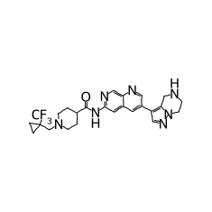 O=C(Nc1cc2cc(-c3cnn4c3CNCC4)cnc2cn1)C1CCN(CC2(C(F)(F)F)CC2)CC1